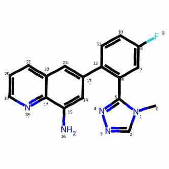 Cn1cnnc1-c1cc(F)ccc1-c1cc(N)c2ncccc2c1